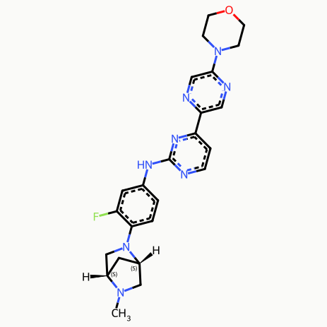 CN1C[C@@H]2C[C@H]1CN2c1ccc(Nc2nccc(-c3cnc(N4CCOCC4)cn3)n2)cc1F